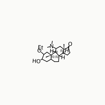 CCOC1C[C@@]2(C)C(CC[C@@H]3[C@H]2C(N(C)C)C[C@]2(C)C(=O)CC[C@@H]32)CC1O